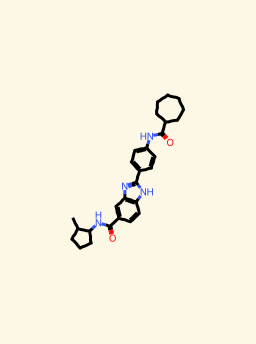 CC1CCCC1NC(=O)c1ccc2[nH]c(-c3ccc(NC(=O)C4CCCCCC4)cc3)nc2c1